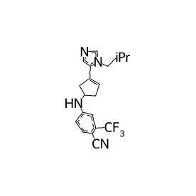 CC(C)Cn1cncc1C1=CCC(Nc2ccc(C#N)c(C(F)(F)F)c2)C1